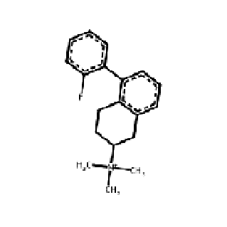 C[N+](C)(C)C1CCc2c(cccc2-c2ccccc2F)C1